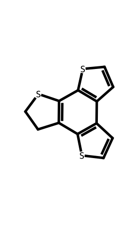 c1cc2c(s1)c1c(c3sccc32)SCC1